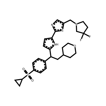 O=S(=O)(c1ccc(C(CC2CCOCC2)c2ccc(-c3ncc(CN4CCC(F)(F)C4)s3)[nH]2)cc1)C1CC1